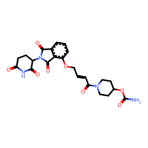 NC(=O)OC1CCN(C(=O)C=CCOc2cccc3c2C(=O)N(C2CCC(=O)NC2=O)C3=O)CC1